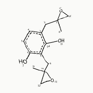 CC1(Cc2ccc(O)c(CC3(C)CO3)c2O)CO1